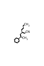 C=CC=CC(=CC#N)C=C(C)c1ccccc1